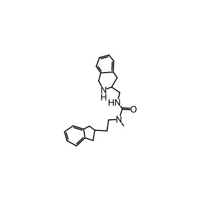 CN(CCC1Cc2ccccc2C1)C(=O)NCC1Cc2ccccc2CN1